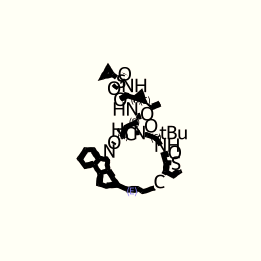 C=C[C@@H]1C[C@]1(NC(=O)[C@@H]1C[C@@H]2CN1C(=O)[C@H](C(C)(C)C)NC(=O)c1sccc1CCC/C=C/c1ccc3c(c1)C(=NO2)c1ccccc1-3)C(=O)NS(=O)(=O)C1CC1